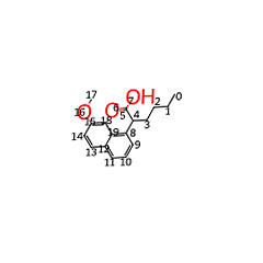 CCCCC(C(=O)O)c1cccc2ccc(OC)cc12